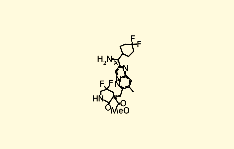 COC(=O)[C@@]1(Cc2nn3cc([C@@H](N)C4CCC(F)(F)CC4)nc3cc2C)CC(F)(F)CNC1=O